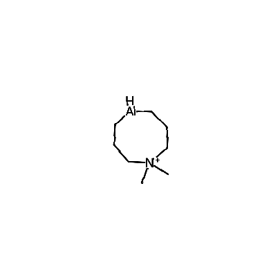 C[N+]1(C)CC[CH2][AlH][CH2]CC1